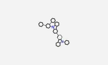 C1=C(c2ccc3c(c2)c2ccccc2n3-c2ccc(-c3ccccc3)cc2-c2ccccc2)CCc2c1c1ccccc1n2-c1ccccc1